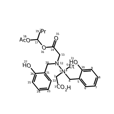 CC[N+](CC(=O)O)(Cc1ccccc1O)N(CC(=O)OC(OC(C)=O)C(C)C)Cc1ccccc1O